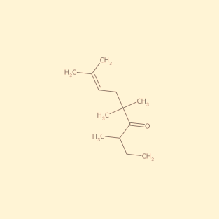 CCC(C)C(=O)C(C)(C)CC=C(C)C